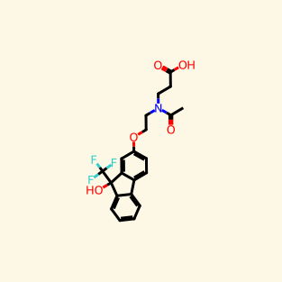 CC(=O)N(CCOc1ccc2c(c1)C(O)(C(F)(F)F)c1ccccc1-2)CCC(=O)O